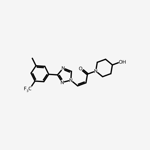 Cc1cc(-c2ncn(/C=C\C(=O)N3CCC(O)CC3)n2)cc(C(F)(F)F)c1